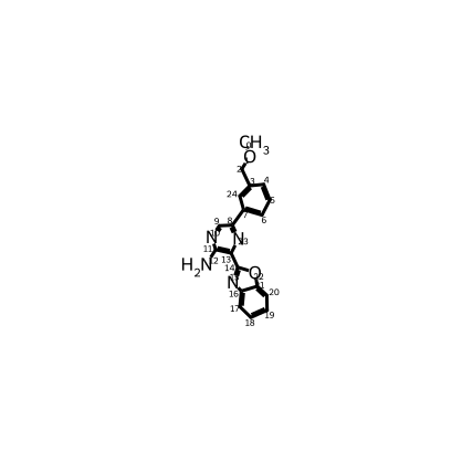 COCc1cccc(-c2cnc(N)c(-c3nc4ccccc4o3)n2)c1